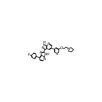 Fc1ccc(-c2ccnc3[nH]c(-c4n[nH]c5ncc(-c6cncc(OCCN7CCCC7)c6)cc45)nc23)cc1